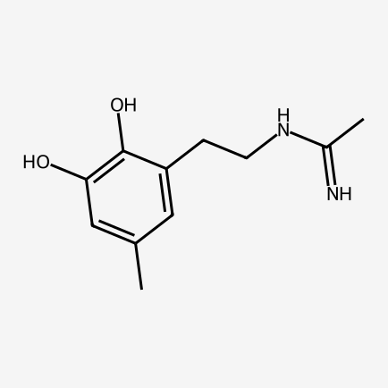 CC(=N)NCCc1cc(C)cc(O)c1O